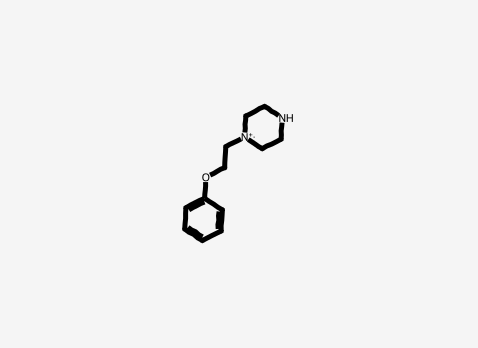 c1ccc(OCC[N+]2CCNCC2)cc1